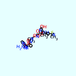 COCOc1ccccc1-c1cc(N2CC3CCC(C2)N3c2ccnc(CCCN3CCN(CCOc4cc(C(C(=O)N5C[C@H](O)C[C@H]5C(=O)NCc5ccc(-c6scnc6C)cc5)C(C)C)on4)CC3)c2)c(N)nn1